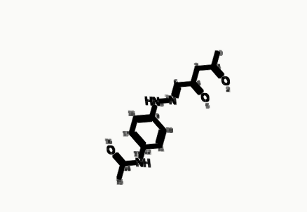 CC(=O)CC(=O)C=NNc1ccc(NC(C)=O)cc1